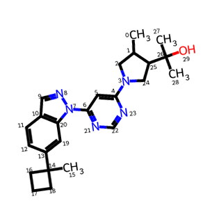 CC1CN(c2cc(-n3ncc4ccc(C5(C)CCC5)cc43)ncn2)CC1C(C)(C)O